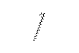 [CH2]C(CC)CCCCCCCCCCCCCCCCCC